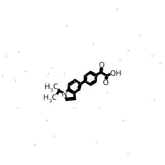 CC(C)n1ccc2cc(-c3ccc(C(=O)C(=O)O)cc3)ccc21